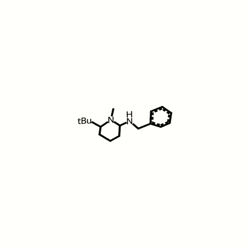 CN1C(NCc2ccccc2)CCCC1C(C)(C)C